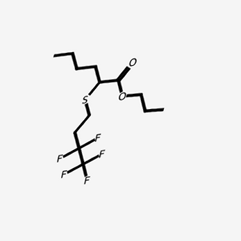 CCCCC(SCCC(F)(F)C(F)(F)F)C(=O)OCCC